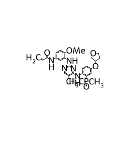 C=CC(=O)Nc1ccc(OC)c(Nc2ncc(Cl)c(Nc3ccc(OC4CCOC4)cc3P(C)(C)=O)n2)c1